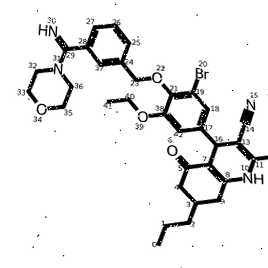 CCCC1CC(=O)C2=C(C1)NC(C)=C(C#N)C2c1cc(Br)c(OCc2cccc(C(=N)N3CCOCC3)c2)c(OCC)c1